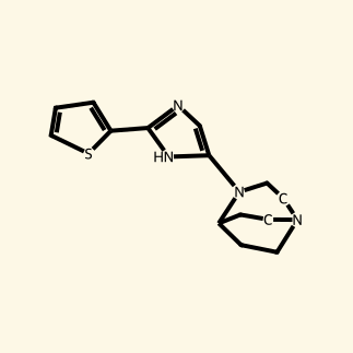 c1csc(-c2ncc(N3CCN4CCC3CC4)[nH]2)c1